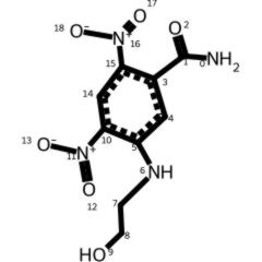 NC(=O)c1cc(NCCO)c([N+](=O)[O-])cc1[N+](=O)[O-]